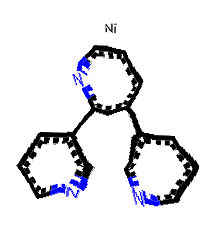 [Ni].c1cncc(-c2cccnc2-c2cccnc2)c1